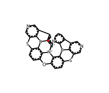 c1cc2c3[n+](c1)[N+]14c5c(ccc6c5B3c3c(cncc3-2)S6)Oc2ccc3c(c21)B1c2c(cncc2-c2ccc[n+]4c21)S3